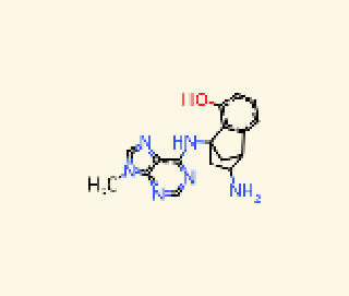 Cn1cnc2c(NC34CC(N)C(C3)c3cccc(O)c34)ncnc21